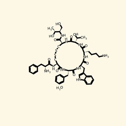 CC(O)[C@@H]1NC(=O)[C@H](CCCCN)NC(=O)[C@@H](Cc2c[nH]c3ccccc23)NC(=O)[C@H](Cc2ccccc2)NC(=O)[C@@H](NC(=O)[C@H](N)Cc2ccccc2)CSSC[C@@H](C(=O)N[C@H](CO)[C@@H](C)O)NC1=O.O